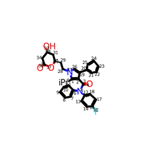 CC(C)c1c(C(=O)N(c2ccccc2)c2ccc(F)cc2)c(-c2ccccc2)cn1CC[C@@H]1C[C@@H](O)CC(=O)O1